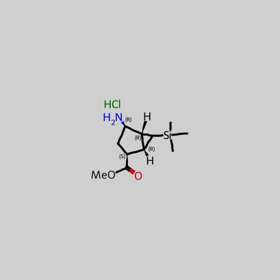 COC(=O)[C@H]1C[C@@H](N)[C@@H]2C([Si](C)(C)C)[C@@H]21.Cl